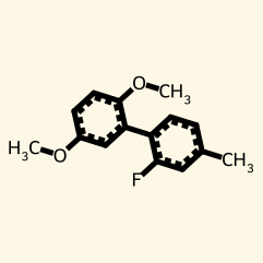 COc1ccc(OC)c(-c2ccc(C)cc2F)c1